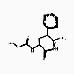 C[C@H]1NC(=O)C(NC(=O)OC(C)(C)C)CC1c1ccccc1